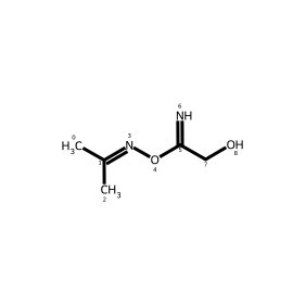 CC(C)=NOC(=N)CO